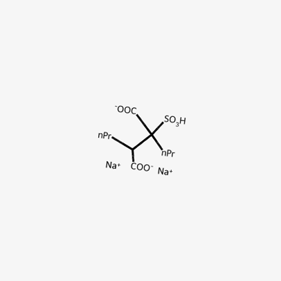 CCCC(C(=O)[O-])C(CCC)(C(=O)[O-])S(=O)(=O)O.[Na+].[Na+]